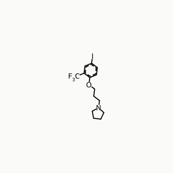 FC(F)(F)c1cc(I)ccc1OCCCN1CCCC1